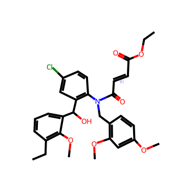 CCOC(=O)/C=C/C(=O)N(Cc1ccc(OC)cc1OC)c1ccc(Cl)cc1C(O)c1cccc(CC)c1OC